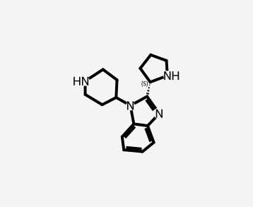 c1ccc2c(c1)nc([C@@H]1CCCN1)n2C1CCNCC1